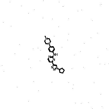 CN1CCN(c2ccc(Nc3nccc(-c4cn(C5CCCC5)nn4)n3)cc2)CC1